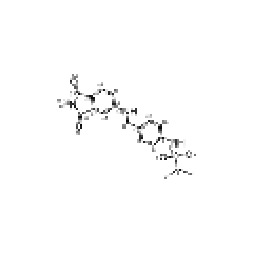 CC(C)S(=O)(=O)Nc1ccc(CNc2ccc3c(c2)C(=O)N(C)C3=O)cc1